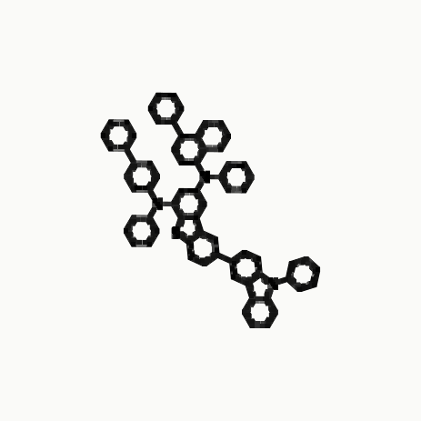 c1ccc(-c2ccc(N(c3ccccc3)c3cc(N(c4ccccc4)c4ccc(-c5ccccc5)c5ccccc45)cc4c3sc3ccc(-c5ccc6c(c5)c5ccccc5n6-c5ccccc5)cc34)cc2)cc1